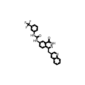 O=C(Nc1cccc(C(F)(F)F)c1)Nc1ccc2c(Cc3cnc4ccccc4c3)n[nH]c(=O)c2c1